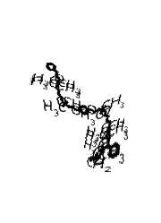 C=CC(=O)OC(C)(C)C(COC(C)(C)C(C)(C)CCCCOC(C)(C)CCOc1ccc(OCCC(C)(C)OCCCCC(C)(C)C(C)(C)OCCc2ccccc2)cc1)c1ccccc1